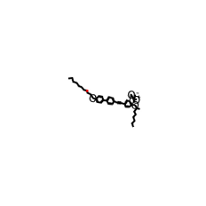 CCCCCCCCCCOc1ccc(-c2ccc(C#Cc3ccc(OC(C)CCCCCC)c([N+](=O)[O-])c3)cc2)cc1